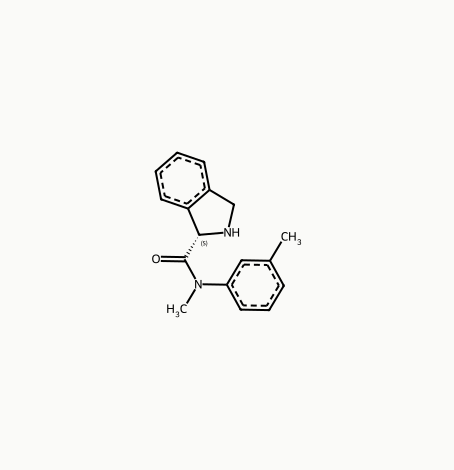 Cc1cccc(N(C)C(=O)[C@H]2NCc3ccccc32)c1